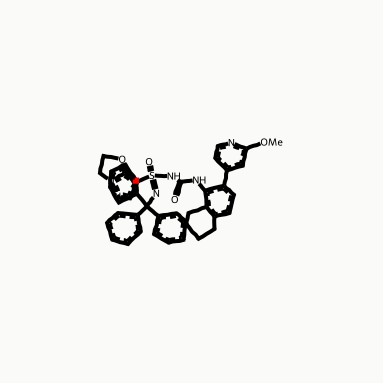 COc1cc(-c2ccc3c(c2NC(=O)NS(=O)(=NC(c2ccccc2)(c2ccccc2)c2ccccc2)c2cnn4c2OCC4)CCCC3)ccn1